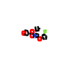 O=C(ON1CC[C@@H](Oc2cccc(F)c2)C1)C1CCOCC1.[Li]